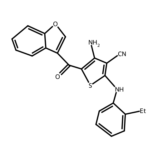 CCc1ccccc1Nc1sc(C(=O)c2coc3ccccc23)c(N)c1C#N